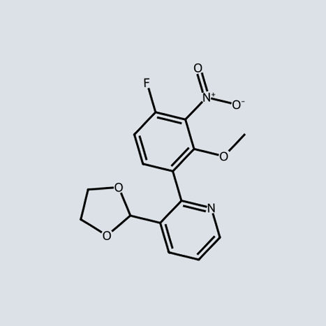 COc1c(-c2ncccc2C2OCCO2)ccc(F)c1[N+](=O)[O-]